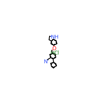 Cl.N#Cc1cc(COc2ccc3c(c2)CCN3)ccc1-c1ccccc1